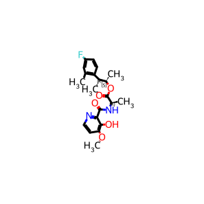 COc1ccnc(C(=O)N[C@H](C)C(=O)O[C@@H](C)[C@H](C)c2ccc(F)cc2C)c1O